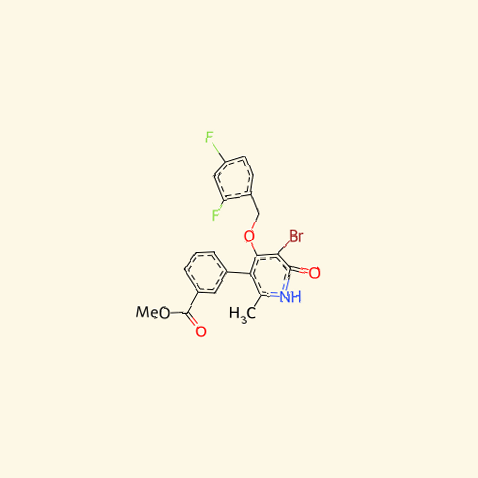 COC(=O)c1cccc(-c2c(C)[nH]c(=O)c(Br)c2OCc2ccc(F)cc2F)c1